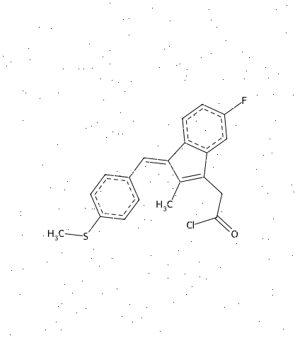 CSc1ccc(C=C2C(C)=C(CC(=O)Cl)c3cc(F)ccc32)cc1